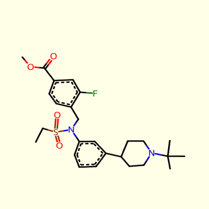 CCS(=O)(=O)N(Cc1ccc(C(=O)OC)cc1F)c1cccc(C2CCN(C(C)(C)C)CC2)c1